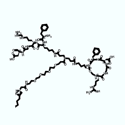 N=C(N)NCCC[C@@H]1NCO[C@H](CCCCNC(=O)CCN(CCC(=O)NCCCC[C@H](NC(=O)[C@H](N)Cc2ccccc2)C(=O)N[C@@H](CCCNCNN)C(=O)NCC(=O)N[C@H](C=O)CC(=O)O)C(=O)CCOCCOCCOCCOCCNC(=O)Cn2cc(CCCI)nn2)NC(=O)[C@@H](Cc2ccccc2)NC(=O)[C@H](CC(=O)O)NC(=O)CNC1=O